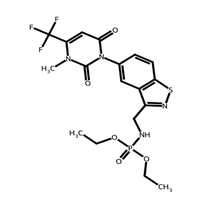 CCOP(=O)(NCc1nsc2ccc(-n3c(=O)cc(C(F)(F)F)n(C)c3=O)cc12)OCC